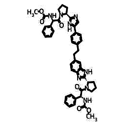 COC(=O)N[C@@H](C(=O)N1CCC[C@H]1c1ncc(-c2ccc(CCc3ccc4nc([C@@H]5CCCN5C(=O)[C@H](NC(=O)OC)c5ccccc5)[nH]c4c3)cc2)[nH]1)c1ccccc1